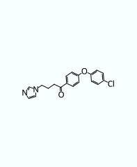 O=C(CCCn1ccnc1)c1ccc(Oc2ccc(Cl)cc2)cc1